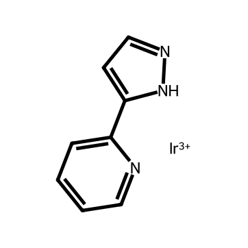 [Ir+3].c1ccc(-c2ccn[nH]2)nc1